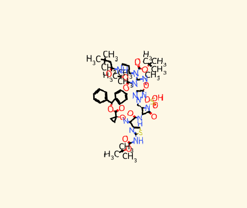 CN(Oc1cnn(C[C@@H]2[C@H](NC(=O)/C(=N\OC3(C(=O)OC(c4ccccc4)c4ccccc4)CC3)c3csc(NC(=O)OC(C)(C)C)n3)C(=O)N2S(=O)(=O)O)n1)/C(=N/C(=O)OC(C)(C)C)N(CCCNC(=O)CC(C)(C)C)C(=O)OC(C)(C)C